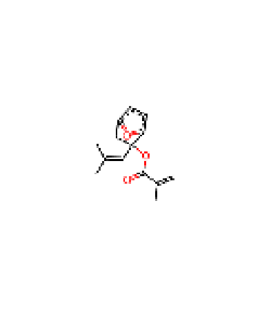 C=C(C)C(=O)OC1(C=C(C)C)Cc2ccc1o2